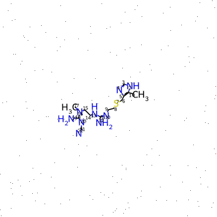 Cc1[nH]cnc1CSCCN=C(N)NCCN(C)C(N)=NC#N